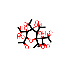 CC(=O)C(O)(C(C)=O)[C@@]1(C(C)=O)O[C@@](O)(C(C)=O)[C@@](O)(C(C)=O)[C@](O)(C(C)=O)[C@@]1(O)C(C)=O